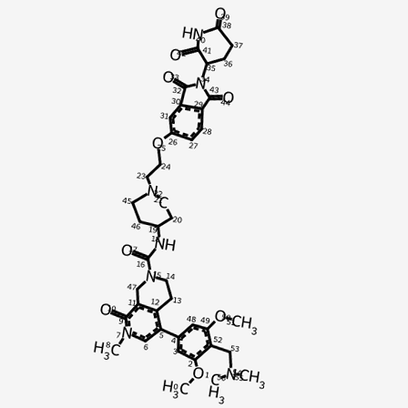 COc1cc(-c2cn(C)c(=O)c3c2CCN(C(=O)NC2CCN(CCOc4ccc5c(c4)C(=O)N(C4CCC(=O)NC4=O)C5=O)CC2)C3)cc(OC)c1CN(C)C